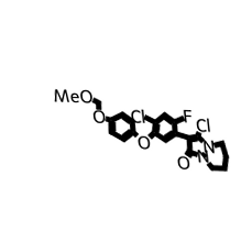 COCOc1ccc(Oc2cc(-c3c(Cl)n4n(c3=O)CCCC4)c(F)cc2Cl)cc1